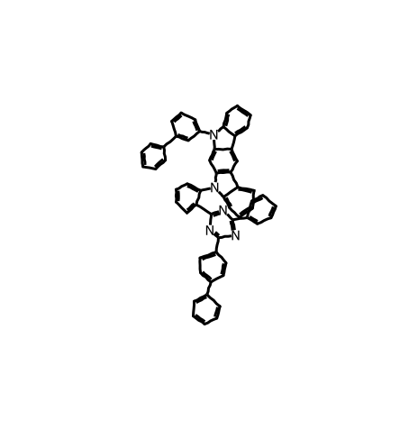 c1ccc(-c2ccc(-c3nc(-c4ccccc4)nc(-c4ccccc4-n4c5ccccc5c5cc6c7ccccc7n(-c7cccc(-c8ccccc8)c7)c6cc54)n3)cc2)cc1